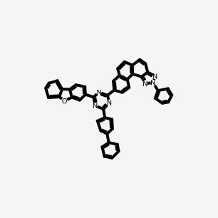 c1ccc(-c2ccc(-c3nc(-c4ccc5c(ccc6ccc7nn(-c8ccccc8)nc7c65)c4)nc(-c4ccc5c(c4)oc4ccccc45)n3)cc2)cc1